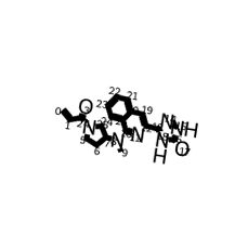 C=CC(=O)N1CCC(N(C)c2nc(-c3n[nH]c(=O)[nH]3)cc3ccccc23)C1